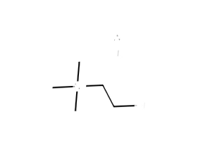 C[N+](C)(C)CCO.P.[W]